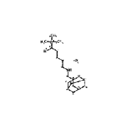 Br.C[N+](C)(C)C(Br)CCCCNCC12CC3CC(CC(C3)C1)C2